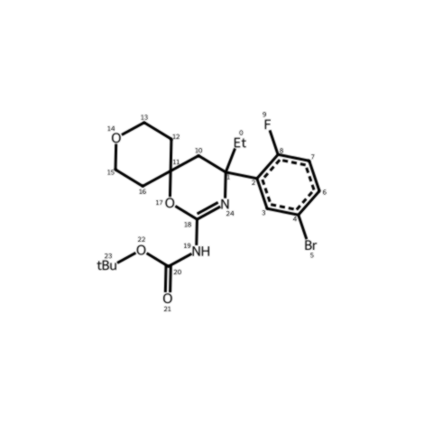 CCC1(c2cc(Br)ccc2F)CC2(CCOCC2)OC(NC(=O)OC(C)(C)C)=N1